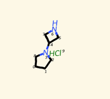 C1CCN(C2CNC2)C1.Cl